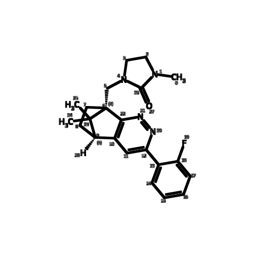 CN1CCN(C[C@]23CC[C@H](c4cc(-c5ccccc5F)nnc42)C3(C)C)C1=O